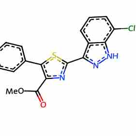 COC(=O)c1nc(-c2n[nH]c3c(Cl)cccc23)sc1-c1ccccc1